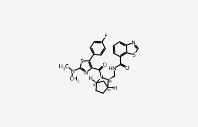 CN(C)c1nc(C(=O)N2[C@H]3CC[C@H](C3)[C@@H]2CNC(=O)c2cccc3ncsc23)c(-c2ccc(F)cc2)s1